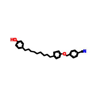 N#Cc1ccc(COc2ccc(CCCCCCCCCc3ccc(O)cc3)cc2)cc1